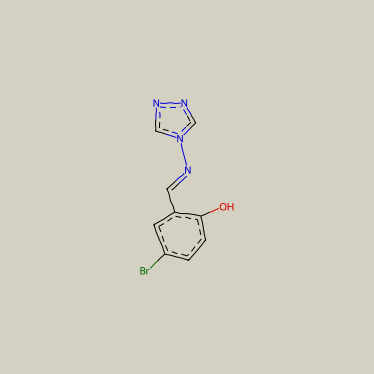 Oc1ccc(Br)cc1/C=N/n1cnnc1